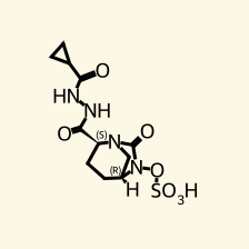 O=C(NNC(=O)[C@@H]1CC[C@@H]2CN1C(=O)N2OS(=O)(=O)O)C1CC1